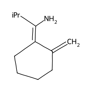 C=C1CCCC/C1=C(/N)C(C)C